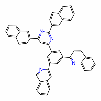 c1ccc2cc(-c3cc(-c4cc(-c5cc6ccccc6cn5)cc(-c5ccc6ccccc6n5)c4)nc(-c4ccc5ccccc5c4)n3)ccc2c1